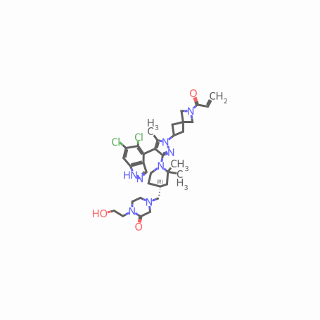 C=CC(=O)N1CC2(CC(n3nc(N4CC[C@@H](CN5CCN(CCO)C(=O)C5)CC4(C)C)c(-c4c(Cl)c(Cl)cc5[nH]ncc45)c3C)C2)C1